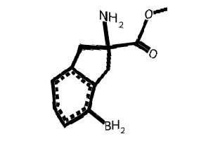 Bc1cccc2c1CC(N)(C(=O)OC)C2